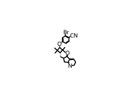 CC1(C)[C@H](CC2CC3=NCCC=C3C2=O)C(C)(C)[C@H]1Oc1ccc(C#N)c(Br)c1